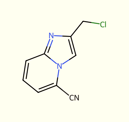 N#Cc1cccc2nc(CCl)cn12